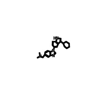 CN(C)Cc1ccc2c(c1)ncn2-c1ccc2[nH]cc(C3CCCCC3)c2c1